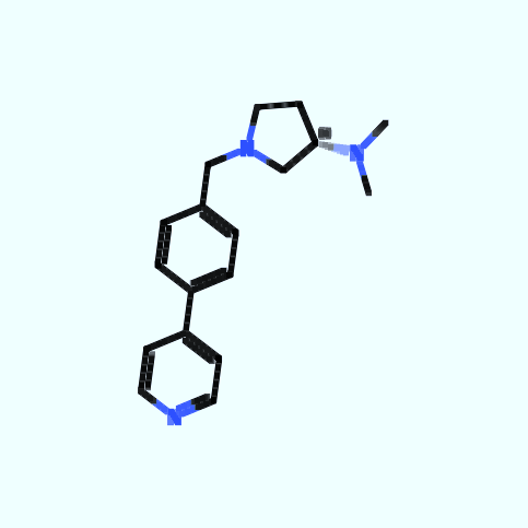 CN(C)[C@H]1CCN(Cc2ccc(-c3ccncc3)cc2)C1